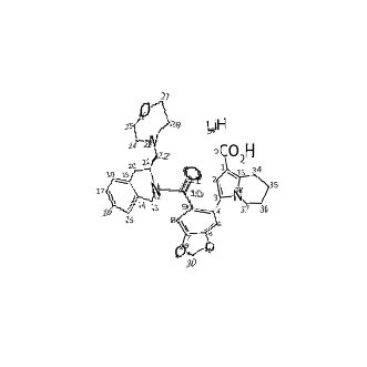 O=C(O)c1cc(-c2cc3c(cc2C(=O)N2Cc4ccccc4C[C@H]2CN2CCOCC2)OCO3)n2c1CCCC2.[LiH]